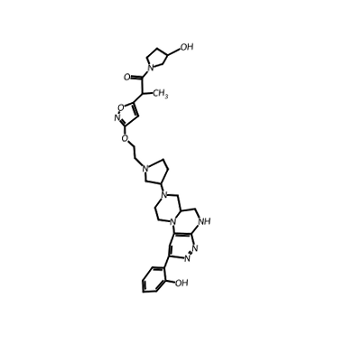 CC(C(=O)N1CCC(O)C1)c1cc(OCCN2CCC(N3CCN4c5cc(-c6ccccc6O)nnc5NCC4C3)C2)no1